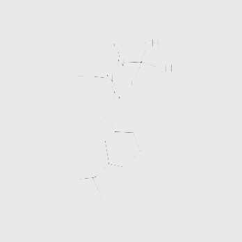 CN(/[N+](O)=N/OC1CCCC(C(=O)O)C1)C(C)(C)C